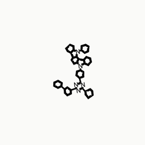 c1ccc(-c2cccc(-c3nc(-c4ccccc4)nc(-c4ccc(-n5c6ccccc6c6c5ccc5c7ccccc7n(-c7ccccc7)c56)cc4)n3)c2)cc1